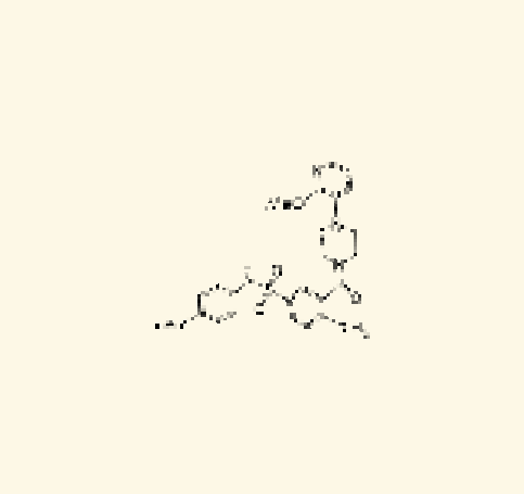 CCCCc1ccc(NS(=O)(=O)c2ccc(C)c(C(=O)N3CCN(c4cccnc4OC)CC3)c2)cc1